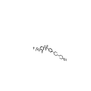 CC[C@H]1CC[C@H]([C@H]2CC[C@H](c3ccc(C(F)(F)Oc4ccc(OC(F)(F)F)c(F)c4)cc3)CC2)CC1